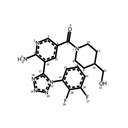 Nc1ncc(C(=O)N2CCC(CO)CC2)cc1-c1nnnn1-c1cccc(F)c1F